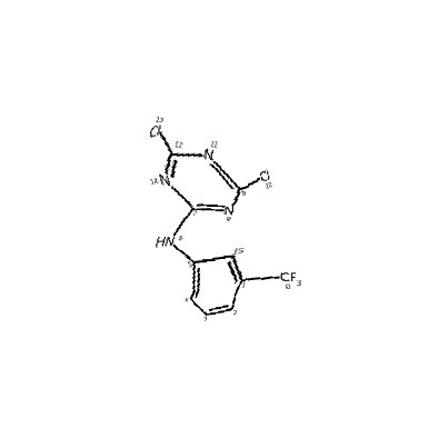 FC(F)(F)c1cccc(Nc2nc(Cl)nc(Cl)n2)c1